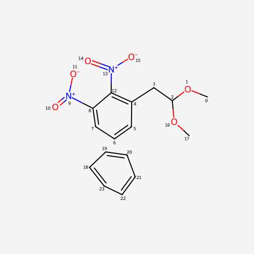 COC(Cc1cccc([N+](=O)[O-])c1[N+](=O)[O-])OC.c1ccccc1